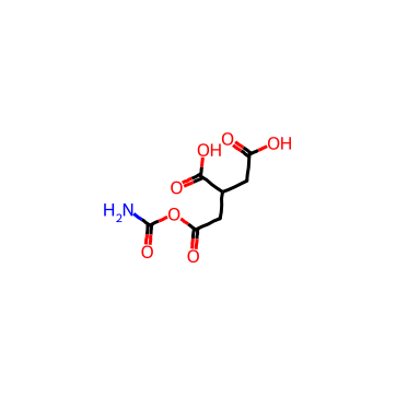 NC(=O)OC(=O)CC(CC(=O)O)C(=O)O